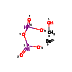 CO.O=[PH]([O-])O[PH](=O)[O-].[Be+2]